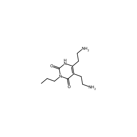 CCCn1c(=O)[nH]c(CCN)c(CCN)c1=O